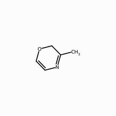 CC1=NC=COC1